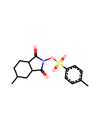 Cc1ccc(S(=O)(=O)ON2C(=O)C3CCC(C)CC3C2=O)cc1